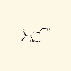 CCC(=O)[C@H](CCCC(C)C)NC(C)C